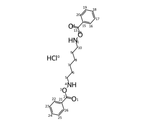 Cl.O=C(ONCCCCCCNOC(=O)c1ccccc1)c1ccccc1